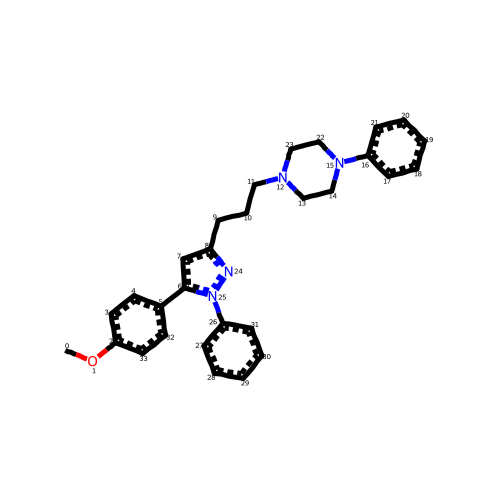 COc1ccc(-c2cc(CCCN3CCN(c4ccccc4)CC3)nn2-c2ccccc2)cc1